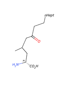 CCCCCCCCCC(=O)CC(C)C[C@@H](N)C(=O)O